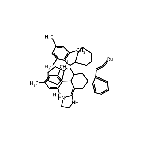 Cc1cc(C)c(C2C(=C3NCCN3)CCCC2[PH](c2c(C)cc(C)cc2C)(C2CCCCC2)C2CCCCC2)c(C)c1.[Ru]=[C]=Cc1ccccc1